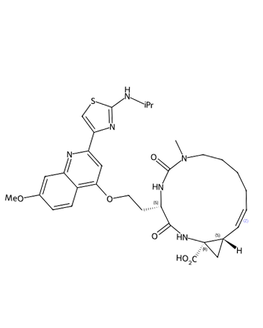 COc1ccc2c(OCC[C@@H]3NC(=O)N(C)CCCC/C=C\[C@@H]4C[C@@]4(C(=O)O)NC3=O)cc(-c3csc(NC(C)C)n3)nc2c1